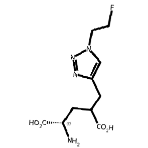 N[C@@H](CC(Cc1cn(CCF)nn1)C(=O)O)C(=O)O